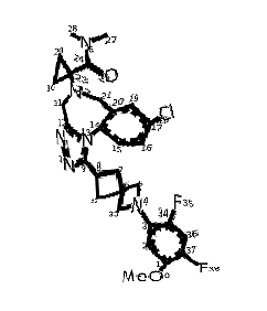 COc1cc(N2CC3(CC(c4nnc5n4-c4ccc(Cl)cc4CN(C4(C(=O)N(C)C)CC4)C5)C3)C2)c(F)cc1F